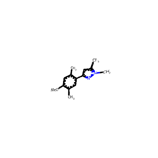 COc1cc(C)c(-c2cc(C(F)(F)F)n(C)n2)cc1C